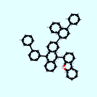 c1ccc(-c2cccc(-c3c4ccccc4c(-c4cccc5c4oc4ccccc45)c4cc(-c5ccc(-c6ccccc6)c6ccccc56)ccc34)c2)cc1